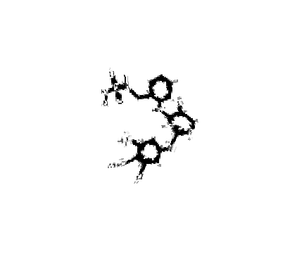 CCNS(=O)(=O)NCc1ccccc1Nc1nc(Nc2cc(C)c(OC)c(Cl)c2)ncc1Cl